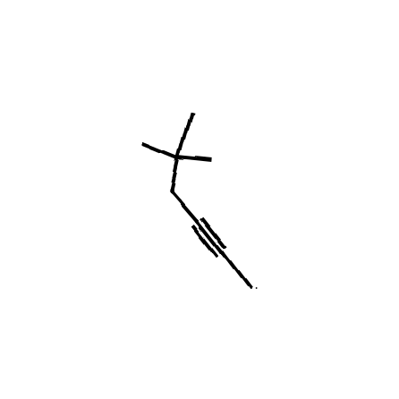 [CH2]C#CCC(C)(C)C